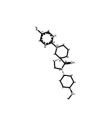 CO[C@H]1CC[C@H](N2CC[C@]3(CCCN(c4ncc(F)cn4)C3)C2=O)CC1